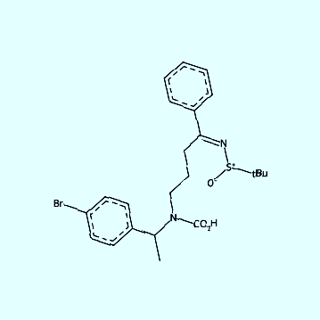 CC(c1ccc(Br)cc1)N(CCCC(=N[S+]([O-])C(C)(C)C)c1ccccc1)C(=O)O